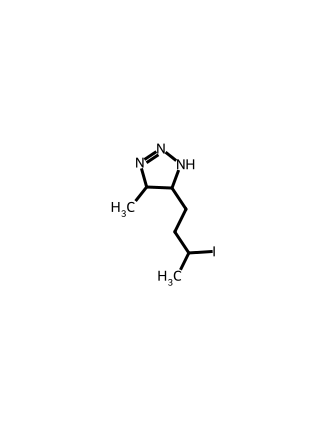 CC(I)CCC1NN=NC1C